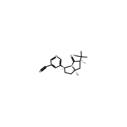 CC(F)(F)[C@@]1(C)C[C@H]2CC[C@@H](c3cncc(C#N)c3)N2C1=O